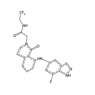 O=C(Cn1ccc2cccc(Nc3cc(F)c4[nH]ncc4c3)c2c1=O)NCC(F)(F)F